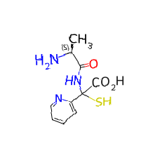 C[C@H](N)C(=O)NC(S)(C(=O)O)c1ccccn1